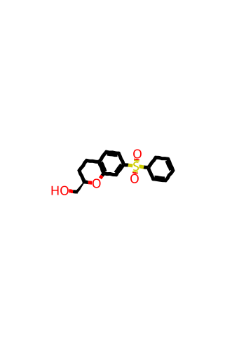 O=S(=O)(c1ccc2c(c1)O[C@@H](CO)CC2)C1C=CC=CC1